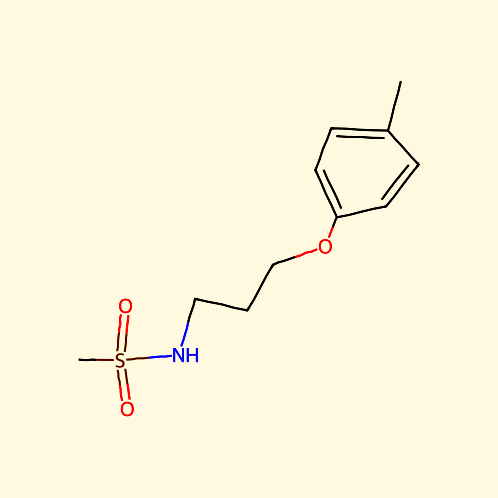 Cc1ccc(OCCCNS(C)(=O)=O)cc1